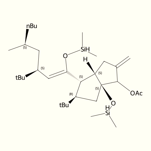 C=C1C[C@H]2[C@@H](C(=C[C@H](C[C@@H](C)CCCC)C(C)(C)C)O[SiH](C)C)[C@H](C(C)(C)C)C[C@@]2(O[SiH](C)C)C1OC(C)=O